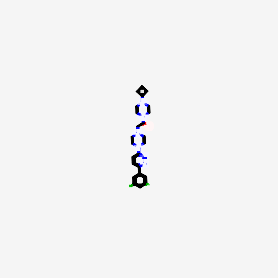 O=C(CN1CCN(c2ccc(-c3cc(Cl)cc(Cl)c3)nn2)CC1)N1CCN(C2CCC2)CC1